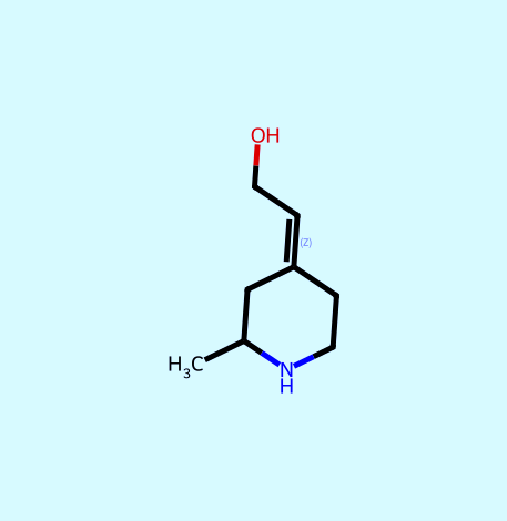 CC1C/C(=C\CO)CCN1